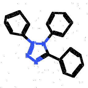 c1ccc(-c2nn[n+](-c3ccccc3)n2-c2ccccc2)cc1